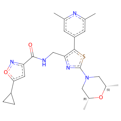 Cc1cc(-c2sc(N3C[C@@H](C)O[C@@H](C)C3)nc2CNC(=O)c2cc(C3CC3)on2)cc(C)n1